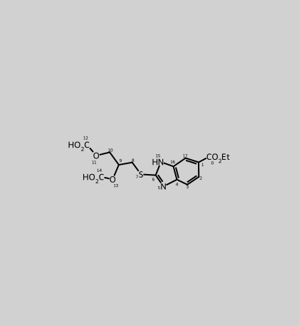 CCOC(=O)c1ccc2nc(SCC(COC(=O)O)OC(=O)O)[nH]c2c1